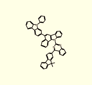 CC1(C)c2ccccc2-c2ccc(-c3nc(-n4c5ccccc5c5cc(-c6ccc7c8ccccc8n(-c8ccccc8)c7c6)c6ccccc6c54)nc4ccccc34)cc21